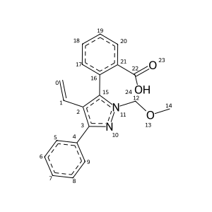 C=Cc1c(-c2ccccc2)nn(COC)c1-c1ccccc1C(=O)O